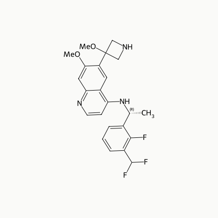 COc1cc2nccc(N[C@H](C)c3cccc(C(F)F)c3F)c2cc1C1(OC)CNC1